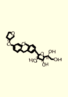 OC[C@@H](O)C1OC(c2ccc(Cl)c(Cc3ccc(O[C@H]4CCOC4)cc3)c2)[C@H](O)[C@H]1O